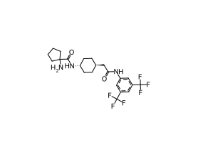 NC1(C(=O)N[C@H]2CC[C@H](CC(=O)Nc3cc(C(F)(F)F)cc(C(F)(F)F)c3)CC2)CCCC1